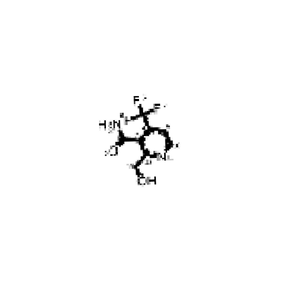 NC(=O)c1c(C(F)(F)F)ccnc1CO